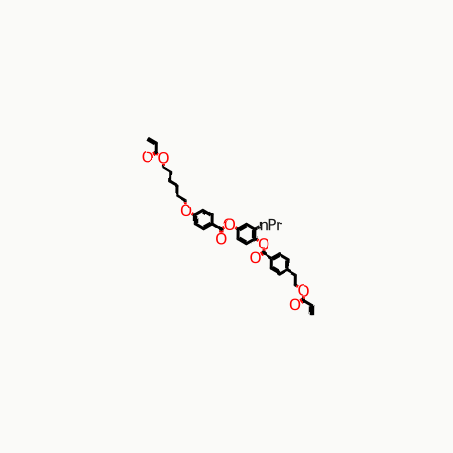 C=CC(=O)OCCCCCCOc1ccc(C(=O)Oc2ccc(OC(=O)c3ccc(CCOC(=O)C=C)cc3)c(CCC)c2)cc1